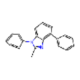 Cc1nc2c(-c3ccccc3)cccc2n1-c1ccccc1